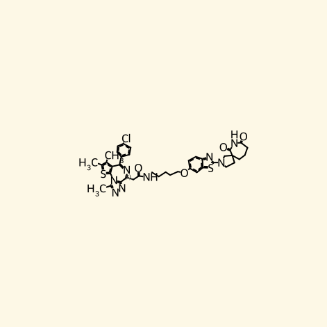 Cc1sc2c(c1C)C(c1ccc(Cl)cc1)=N[C@@H](CC(=O)NCCCCCOc1ccc3nc(N4CCC5(CCCC(=O)NC5=O)C4)sc3c1)c1nnc(C)n1-2